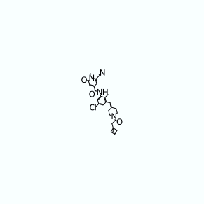 Cc1c(C=C2CCN(C(=O)CC34CC(C3)C4)CC2)cc(Cl)cc1NC(=O)c1cc(C#N)n(C)c(=O)c1